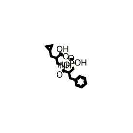 O=C(O)C(CNC(=O)C(Cc1ccccc1)CP(=O)(O)O)CC1CC1